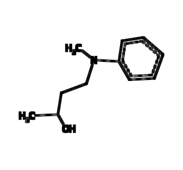 CC(O)CCN(C)c1ccccc1